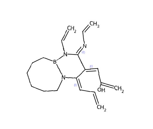 C=C\C=C1C(=C\C(=C)O)/C(=N/C=C)N(C=C)B2CCCCCCN2/1